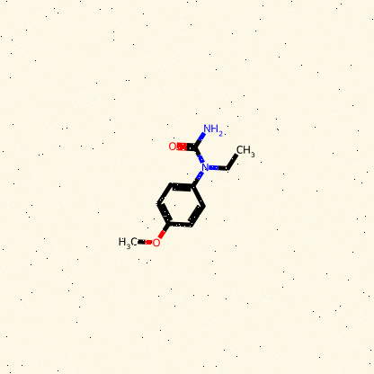 CCN(C(N)=O)c1ccc(OC)cc1